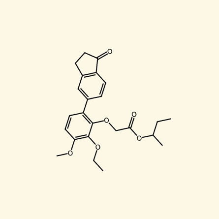 CCOc1c(OC)ccc(-c2ccc3c(c2)CCC3=O)c1OCC(=O)OC(C)CC